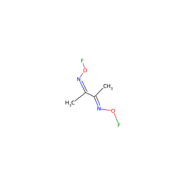 CC(=NOF)C(C)=NOF